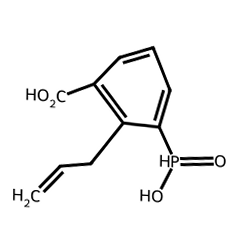 C=CCc1c(C(=O)O)cccc1[PH](=O)O